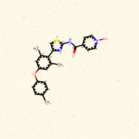 Cc1ccc(Oc2cc(C)c(-c3csc(NC(=O)c4cc[n+]([O-])cc4)n3)c(C)c2)cc1